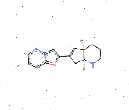 C1=C(c2cc3ncccc3o2)C[C@@H]2NCCC[C@H]12